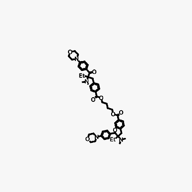 CCC(Cc1ccc(C(=O)OCCCCOC(=O)c2ccc(CC(CC)(C(=O)c3ccc(N4CCOCC4)cc3)N(C)C)cc2)cc1)(C(=O)c1ccc(N2CCOCC2)cc1)N(C)C